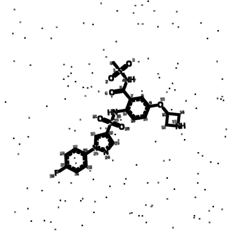 CS(=O)(=O)NC(=O)c1cc(OC2CNC2)ccc1NS(=O)(=O)c1cnn(-c2ccc(F)cc2)c1